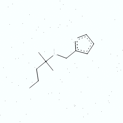 CCCC(C)(C)NCc1ccco1